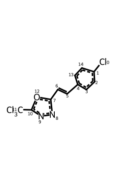 Clc1ccc(/C=C/c2nnc(C(Cl)(Cl)Cl)o2)cc1